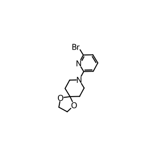 Brc1cccc(N2CCC3(CC2)OCCO3)n1